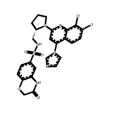 O=C1COc2ccc(S(=O)(=O)NC[C@@H]3CCCN3c3cc(-n4ccnc4)c4ccc(Cl)c(Cl)c4n3)cc2N1